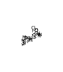 CC(C)(C)[Si](C)(C)OC1(c2cc(-c3[nH]c(C4CCC5CC(c6c(-n7cnnn7)ccc(Cl)c6F)=CCN54)nc3F)ccn2)CC1